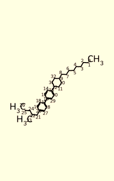 CCCCCCCCCC1CCC(c2ccc(-c3ccc(CC(C)CCC)cc3)cc2)CC1